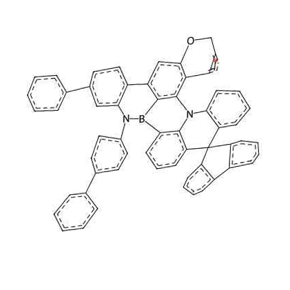 c1ccc(-c2ccc(N3B4c5cccc6c5N(c5ccccc5C65c6ccccc6-c6ccccc65)c5c4c(cc4c5-c5ccccc5CO4)-c4ccc(-c5ccccc5)cc43)cc2)cc1